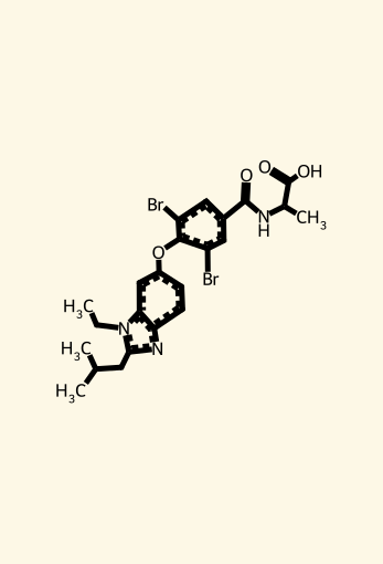 CCn1c(CC(C)C)nc2ccc(Oc3c(Br)cc(C(=O)NC(C)C(=O)O)cc3Br)cc21